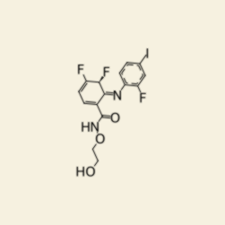 O=C(NOCCO)C1=CC=C(F)[C@@H](F)C1=Nc1ccc(I)cc1F